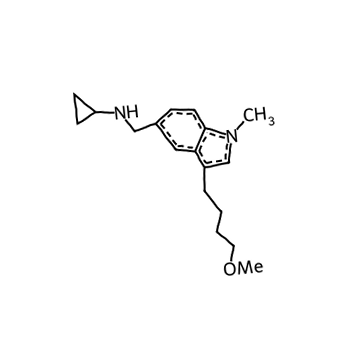 COCCCCc1cn(C)c2ccc(CNC3CC3)cc12